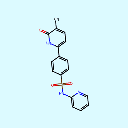 N#Cc1ccc(-c2ccc(S(=O)(=O)Nc3ccccn3)cc2)[nH]c1=O